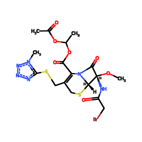 CO[C@@]1(NC(=O)CBr)C(=O)N2C(C(=O)OC(C)OC(C)=O)=C(CSc3nnnn3C)CS[C@H]21